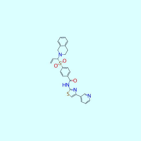 C=CC(N1CCc2ccccc2C1)S(=O)(=O)c1ccc(C(=O)Nc2nc(-c3cccnc3)cs2)cc1